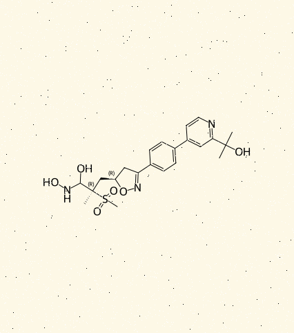 CC(C)(O)c1cc(-c2ccc(C3=NO[C@@H](C[C@](C)(C(O)NO)S(C)(=O)=O)C3)cc2)ccn1